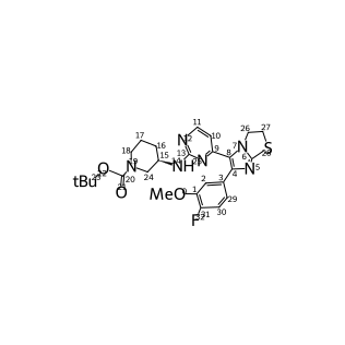 COc1cc(-c2nc3n(c2-c2ccnc(N[C@@H]4CCCN(C(=O)OC(C)(C)C)C4)n2)CCS3)ccc1F